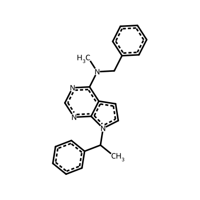 CC(c1ccccc1)n1ccc2c(N(C)Cc3ccccc3)ncnc21